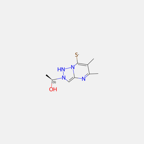 CC1=NC2=CN([C@H](C)O)NN2C([S])=C1C